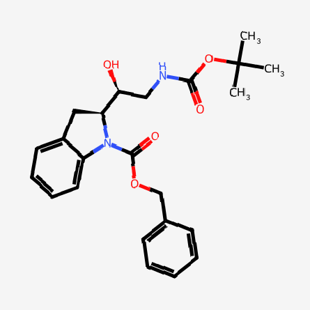 CC(C)(C)OC(=O)NC[C@H](O)[C@@H]1Cc2ccccc2N1C(=O)OCc1ccccc1